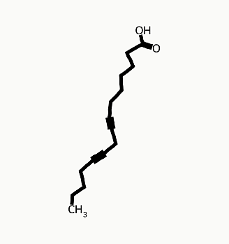 CCCCC#CCC#CCCCCCC(=O)O